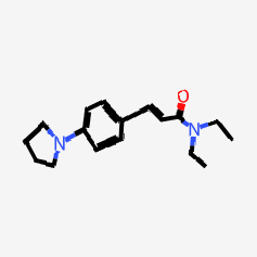 CCN(CC)C(=O)C=Cc1ccc(N2CCCC2)cc1